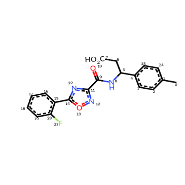 Cc1ccc(C(CC(=O)O)NC(=O)c2noc(-c3ccccc3F)n2)cc1